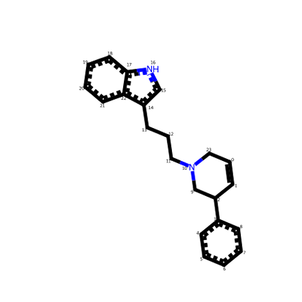 C1=CC(c2ccccc2)CN(CCCc2c[nH]c3ccccc23)C1